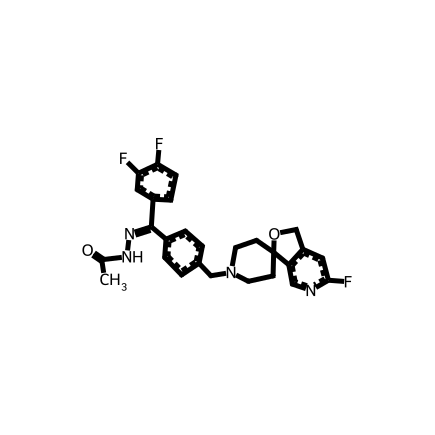 CC(=O)N/N=C(\c1ccc(CN2CCC3(CC2)OCc2cc(F)ncc23)cc1)c1ccc(F)c(F)c1